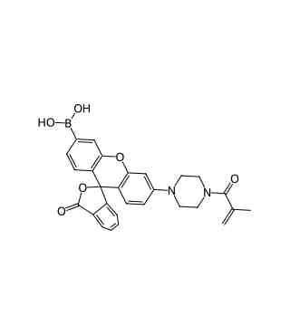 C=C(C)C(=O)N1CCN(c2ccc3c(c2)Oc2cc(B(O)O)ccc2C32OC(=O)c3ccccc32)CC1